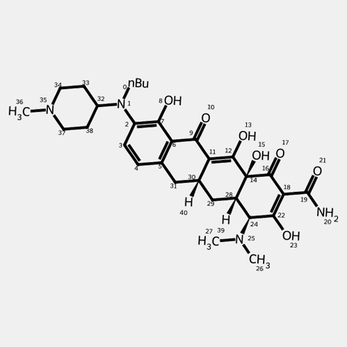 CCCCN(c1ccc2c(c1O)C(=O)C1=C(O)[C@]3(O)C(=O)C(C(N)=O)=C(O)[C@@H](N(C)C)[C@@H]3C[C@@H]1C2)C1CCN(C)CC1